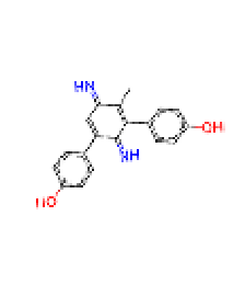 CC1=C(c2ccc(O)cc2)C(=N)C(c2ccc(O)cc2)=CC1=N